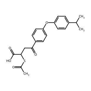 CC(=O)SC(CC(=O)c1ccc(Oc2ccc(C(C)C)cc2)cc1)C(=O)O